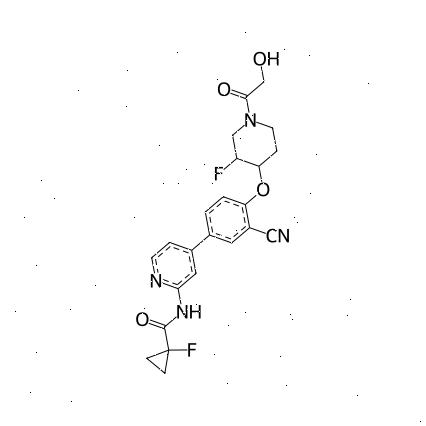 N#Cc1cc(-c2ccnc(NC(=O)C3(F)CC3)c2)ccc1OC1CCN(C(=O)CO)CC1F